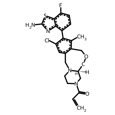 C=CC(=O)N1CCN2Cc3cc(Cl)c(-c4ccc(F)c5sc(N)nc45)c(C)c3COC[C@H]2C1